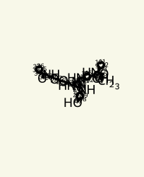 C=C(NC(C(=O)OC)c1ccccc1)c1ccc(Nc2nc(NCCOCCOCCNC(=O)c3ccccc3)nc(Nc3ccc(O)cc3)n2)cc1